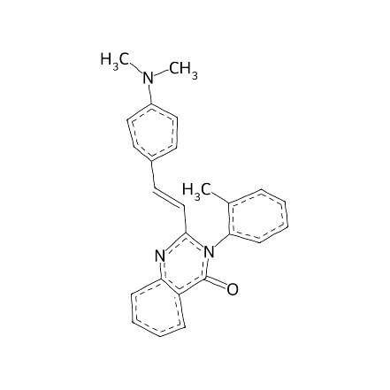 Cc1ccccc1-n1c(/C=C/c2ccc(N(C)C)cc2)nc2ccccc2c1=O